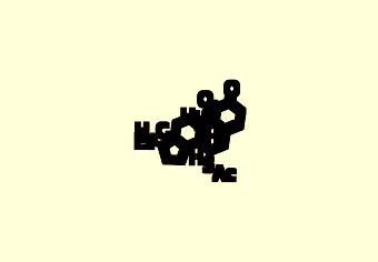 CC[C@H]1CC[C@H]2[C@@H]3[C@H](SC(C)=O)CC4=CCC(=O)C(=O)[C@]4(C)[C@H]3CC[C@]12C